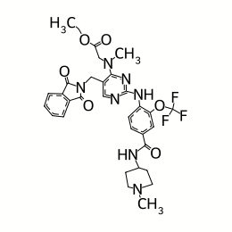 CCOC(=O)CN(C)c1nc(Nc2ccc(C(=O)NC3CCN(C)CC3)cc2OC(F)(F)F)ncc1CN1C(=O)c2ccccc2C1=O